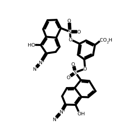 [N-]=[N+]=C1CC=c2c(S(=O)(=O)Oc3cc(OS(=O)(=O)c4cccc5c4=CCC(=[N+]=[N-])C=5O)cc(C(=O)O)c3)cccc2=C1O